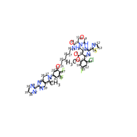 COC(=O)C1=C(CN2CCOC[C@H]2C(=O)NCCCCCCOc2cc(N3CCc4nc(-c5ncccn5)ncc4C3C)cc(F)c2F)NC(c2nccs2)=N[C@H]1c1ccc(F)cc1Cl